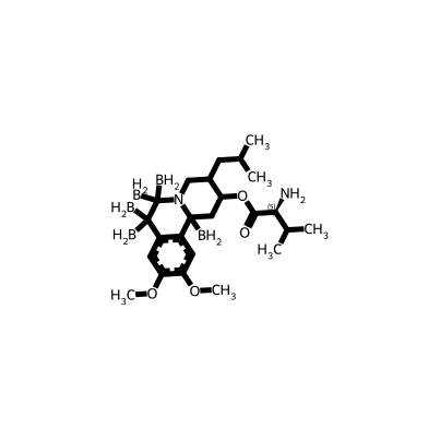 BC12CC(OC(=O)[C@@H](N)C(C)C)C(CC(C)C)CN1C(B)(B)C(B)(B)c1cc(OC)c(OC)cc12